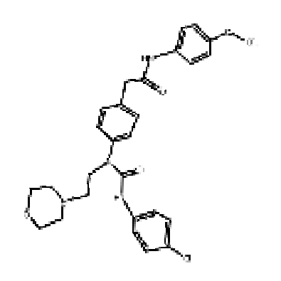 O=C(Cc1ccc(N(CCN2CCOCC2)C(=O)Nc2ccc(Cl)cc2)cc1)Nc1ccc(OC(F)(F)F)cc1